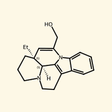 CC[C@@]12C=C(CO)n3c4c(c5ccccc53)CCN(CCC1)[C@H]42